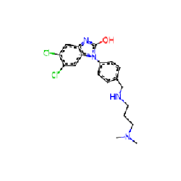 CN(C)CCCNCc1ccc(-n2c(O)nc3cc(Cl)c(Cl)cc32)cc1